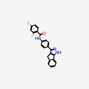 O=C(Nc1ccc(-c2n[nH]c3c2Cc2ccccc2-3)cc1)c1ccc(F)cc1F